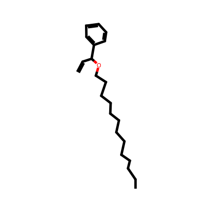 C=CC(OCCCCCCCCCCCCC)c1ccccc1